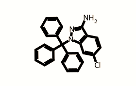 Nc1nn(C(c2ccccc2)(c2ccccc2)c2ccccc2)c2cc(Cl)ccc12